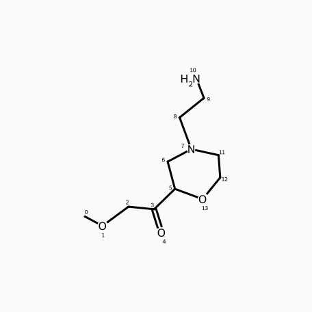 COCC(=O)C1CN(CCN)CCO1